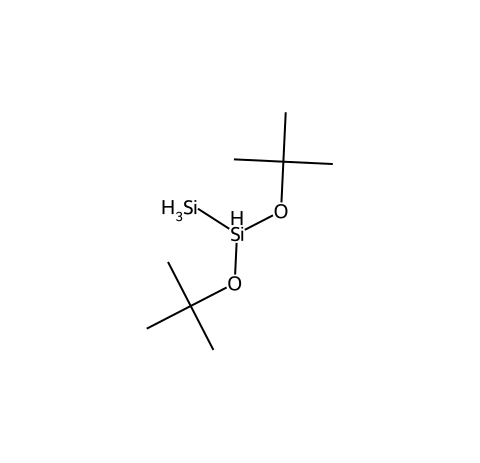 CC(C)(C)O[SiH]([SiH3])OC(C)(C)C